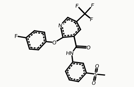 CS(=O)(=O)c1cccc(NC(=O)c2cc(C(F)(F)F)cnc2Oc2ccc(F)cc2)c1